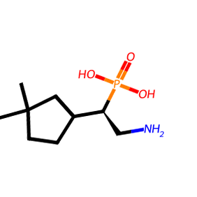 CC1(C)CCC([C@H](CN)P(=O)(O)O)C1